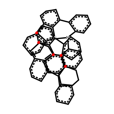 C1=c2cccc(C3CCCCC3)c2=C(c2ccccc2N(c2ccccc2-c2ccc(-c3ccccc3)cc2)c2ccccc2-c2cccc3c4ccccc4n(-c4ccccc4)c23)CC1